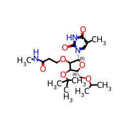 CNC(=O)CCOC1C(OC(C)(C)C)[C@@H](COC(C)C)O[C@H]1n1cc(C)c(=O)[nH]c1=O